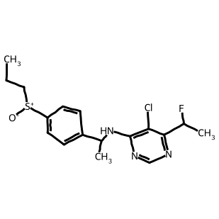 CCC[S+]([O-])c1ccc(C(C)Nc2ncnc(C(C)F)c2Cl)cc1